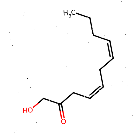 CCC/C=C\C/C=C\CC(=O)CO